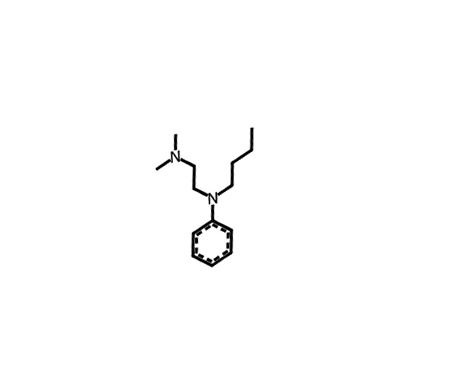 CCCCN(CCN(C)C)c1ccccc1